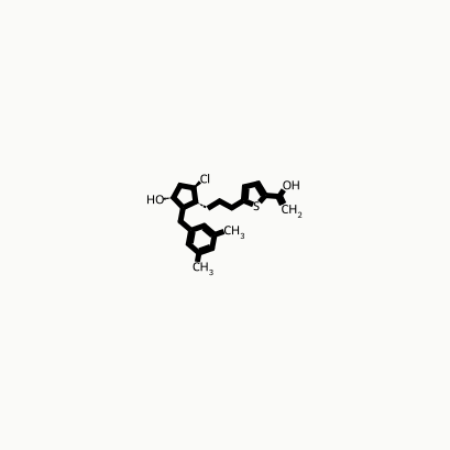 C=C(O)c1ccc(CCC[C@@H]2C(Cc3cc(C)cc(C)c3)[C@H](O)C[C@H]2Cl)s1